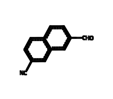 N#Cc1ccc2ccc(C=O)cc2c1